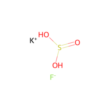 O=S(O)O.[F-].[K+]